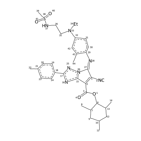 [C-]#[N+]C1=C(C(=O)OC2C(C)CC(C)CC2C)c2nc(-c3ccc(C)cc3)nn2C1=Nc1ccc(N(CC)CCNS(C)(=O)=O)cc1C